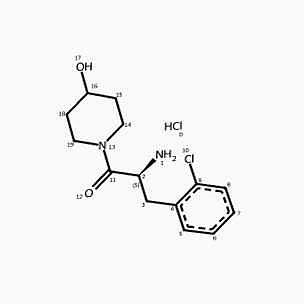 Cl.N[C@@H](Cc1ccccc1Cl)C(=O)N1CCC(O)CC1